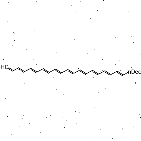 [CH]=CC=CC=CC=CC=CC=CC=CC=CC=CC=CCCCCCCCCCC